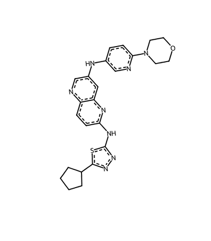 c1cc(N2CCOCC2)ncc1Nc1cnc2ccc(Nc3nnc(C4CCCC4)s3)nc2c1